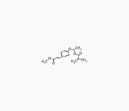 C=C(C)C(=O)OC(C)Oc1ccc(/C=C/C(=O)OC)cc1